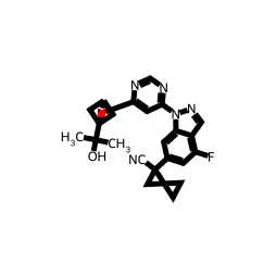 CC(C)(O)C12CC(C1)N(c1cc(-n3ncc4c(F)cc(C5(C#N)CC56CC6)cc43)ncn1)C2